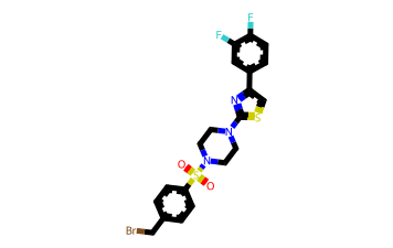 O=S(=O)(c1ccc(CBr)cc1)N1CCN(c2nc(-c3ccc(F)c(F)c3)cs2)CC1